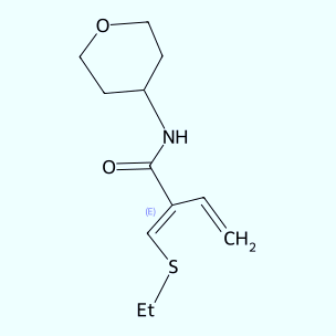 C=C/C(=C\SCC)C(=O)NC1CCOCC1